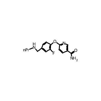 CCCNCc1ccc(Oc2ccc(C(N)=O)cn2)c(F)c1